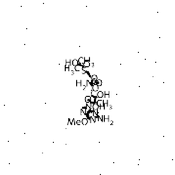 COc1nc(N)nc2c1ncn2[C@@H]1O[C@H](COP(N)(=O)OCCSC(=O)C(C)(C)O)C(O)[C@]1(C)O